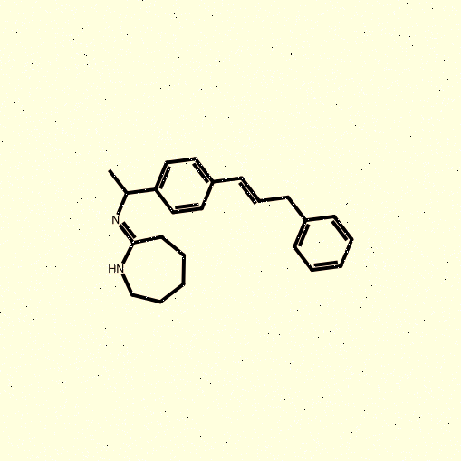 CC(N=C1CCCCCN1)c1ccc(C=CCc2ccccc2)cc1